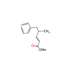 COC(=O)C=CC(C)Cc1ccccc1